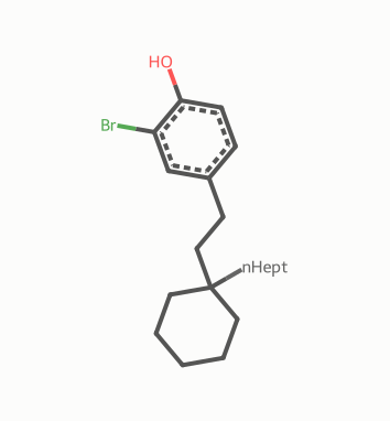 CCCCCCCC1(CCc2ccc(O)c(Br)c2)CCCCC1